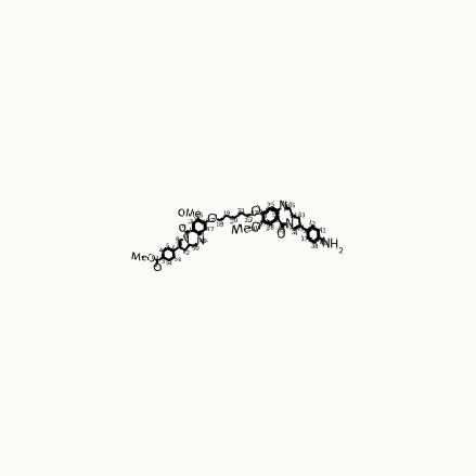 COC(=O)c1ccc(C2=CN3C(=O)c4cc(OC)c(OCCCCCOc5cc6c(cc5OC)C(=O)N5C=C(c7ccc(N)cc7)CC5C=N6)cc4N=CC3C2)cc1